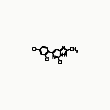 Cc1nc2cc(-c3ccc(Cl)cc3Cl)nc(Cl)n2n1